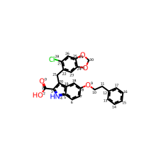 O=C(O)c1[nH]c2ccc(OCCc3ccccc3)cc2c1Cc1cc2c(cc1Cl)OCO2